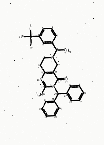 CC(c1cccc(C(F)(F)F)c1)N1CCc2nc(N)n(C(c3ccccc3)c3ccccc3)c(=O)c2C1